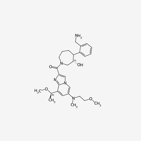 COCCN(C)c1cc([C@@H](C)OC)c2nc(C(=O)N3CCCC(c4ccccc4CN)[C@H](O)C3)cn2c1